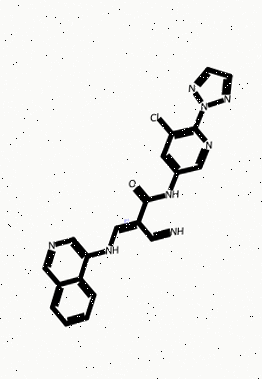 N=C/C(=C\Nc1cncc2ccccc12)C(=O)Nc1cnc(-n2nccn2)c(Cl)c1